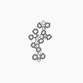 c1ccc(-c2nc3c(-n4c5ccccc5c5cc(N6c7ccccc7Oc7ccccc76)ccc54)ccc(-n4c5ccccc5c5cc(N6c7ccccc7Oc7ccccc76)ccc54)c3nc2-c2ccccc2)cc1